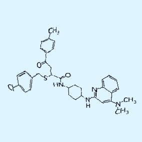 Cc1ccc(C(=O)CC(SCc2ccc(Cl)cc2)C(=O)NC2CCC(Nc3cc(N(C)C)c4ccccc4n3)CC2)cc1